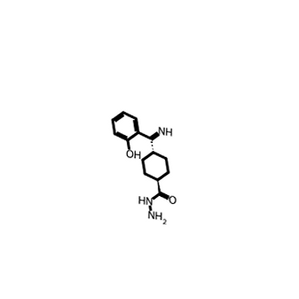 N=C(c1ccccc1O)[C@H]1CC[C@H](C(=O)NN)CC1